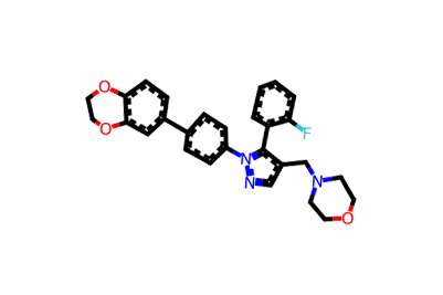 Fc1ccccc1-c1c(CN2CCOCC2)cnn1-c1ccc(-c2ccc3c(c2)OCCO3)cc1